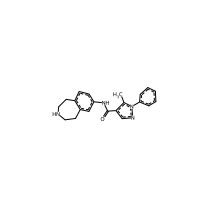 Cc1c(C(=O)Nc2ccc3c(c2)CCNCC3)cnn1-c1ccccc1